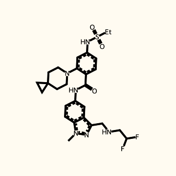 CCS(=O)(=O)Nc1ccc(C(=O)Nc2ccc3c(c2)c(CNCC(F)F)nn3C)c(N2CCC3(CC2)CC3)c1